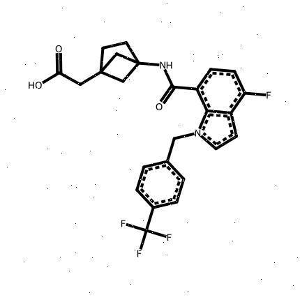 O=C(O)CC12CCC(NC(=O)c3ccc(F)c4ccn(Cc5ccc(C(F)(F)F)cc5)c34)(C1)C2